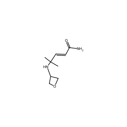 CC(C)(/C=C/C(N)=O)NC1COC1